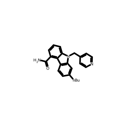 CCCCc1c[c]c2c3c(C(N)=O)cccc3n(Cc3ccncc3)c2c1